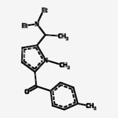 CCN(CC)C(C)c1ccc(C(=O)c2ccc(C)cc2)n1C